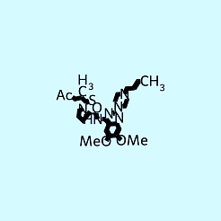 C/C=C/CN1CCN(c2nc(NC(=O)[C@H]3CCCN3C(=S)C(C)CC(C)=O)c3cc(OC)c(OC)cc3n2)CC1